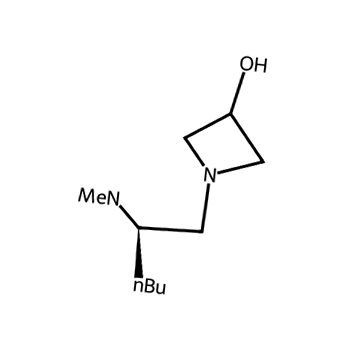 CCCC[C@H](CN1CC(O)C1)NC